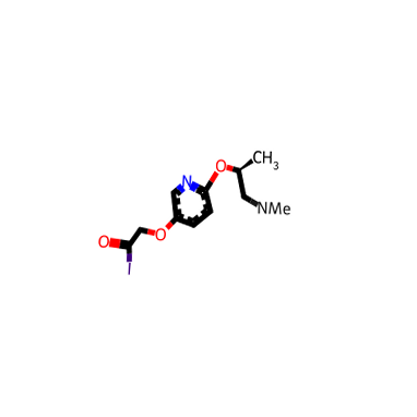 CNC[C@H](C)Oc1ccc(OCC(=O)I)cn1